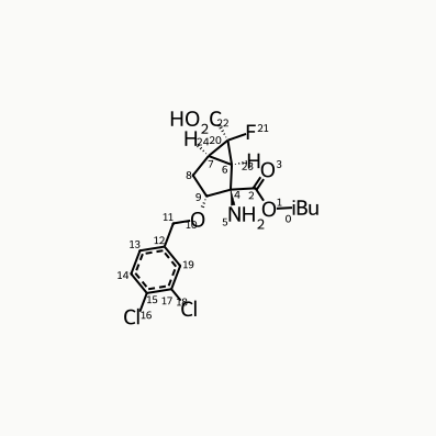 CCC(C)OC(=O)[C@@]1(N)[C@H]2[C@@H](C[C@H]1OCc1ccc(Cl)c(Cl)c1)[C@]2(F)C(=O)O